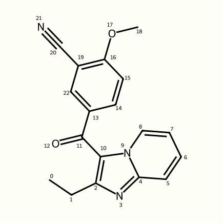 CCc1nc2ccccn2c1C(=O)c1ccc(OC)c(C#N)c1